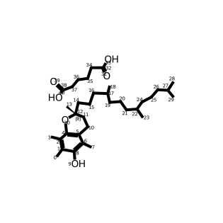 Cc1c(C)c2c(c(C)c1O)CC[C@@](C)(CCCC(C)CCCC(C)CCCC(C)C)O2.O=C(O)CCCCC(=O)O